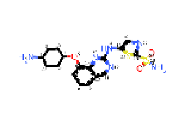 NC1CCC(Oc2cccc3cnc(Nc4cnc(S(N)(=O)=O)s4)nc23)CC1